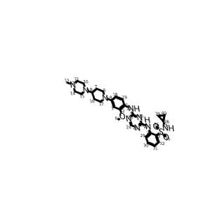 COc1cc(N2CCC(N3CCN(C)CC3)CC2)ccc1Nc1ncnc(Nc2ccccc2S(=O)(=O)NC2CC2)n1